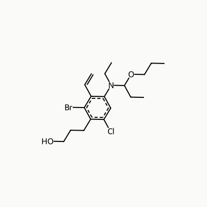 C=Cc1c(N(CC)C(CC)OCCC)cc(Cl)c(CCCO)c1Br